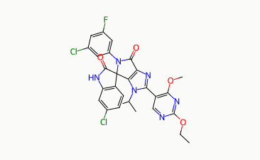 CCOc1ncc(-c2nc3c(n2C(C)C)C2(C(=O)Nc4cc(Cl)ccc42)N(c2cc(F)cc(Cl)c2)C3=O)c(OC)n1